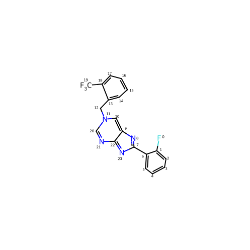 Fc1ccccc1-c1nc2cn(Cc3ccccc3C(F)(F)F)cnc-2n1